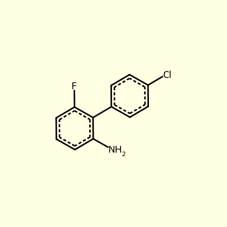 Nc1cccc(F)c1-c1ccc(Cl)cc1